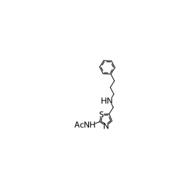 CC(=O)Nc1ncc(CNCCCc2ccccc2)s1